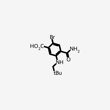 CC(C)(C)CNc1cc(C(=O)O)c(Br)cc1C(N)=O